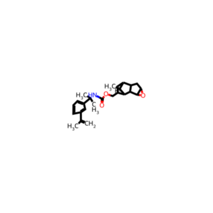 C=C(C)c1cccc(C(C)(C)NC(=O)OCC2CC3C4CC5OC5C4C2[C@H]3C)c1